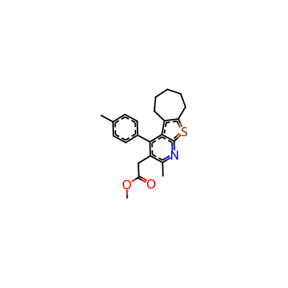 COC(=O)Cc1c(C)nc2sc3c(c2c1-c1ccc(C)cc1)CCCCC3